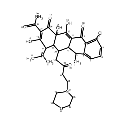 CC1c2cccc(O)c2C(=O)C2=C(O)C3(O)C(=O)C(C(N)=O)=C(O)C(N(C)C)C3C(CC(=O)CCN3CCOCC3)C21